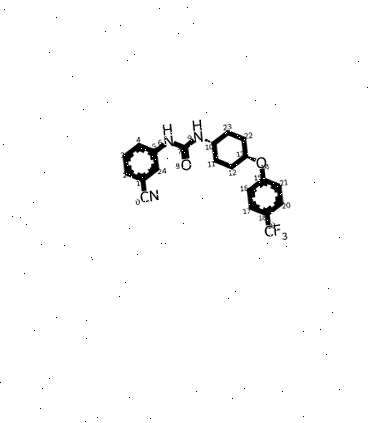 N#Cc1cccc(NC(=O)N[C@H]2CC[C@H](Oc3ccc(C(F)(F)F)cc3)CC2)c1